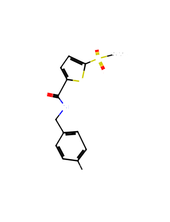 CNS(=O)(=O)c1ccc(C(=O)NCc2ccc(C(F)(F)F)cc2)s1